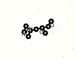 c1ccc(-c2cc(-c3ccc(-c4ccc(-c5ccc6oc7ccccc7c6c5)c5c4oc4ccccc45)cc3)nc(-c3ccccc3-c3ccncc3)n2)cc1